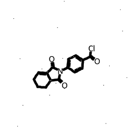 O=C(Cl)c1ccc(N2C(=O)C3=CCCCC3C2=O)cc1